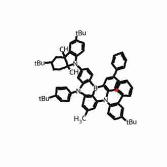 Cc1cc2c3c(c1)N(c1ccc(C(C)(C)C)cc1-c1ccccc1)c1ccc(-c4ccccc4)cc1B3c1ccc(N3c4ccc(C(C)(C)C)cc4C4(C)CC(C(C)(C)C)CCC34C)cc1N2c1ccc(C(C)(C)C)cc1